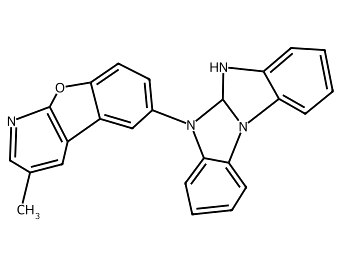 Cc1cnc2oc3ccc(N4c5ccccc5N5c6ccccc6NC45)cc3c2c1